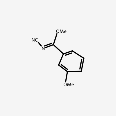 COC(=NC#N)c1cccc(OC)c1